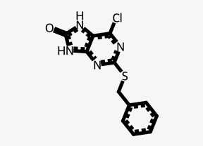 O=c1[nH]c2nc(SCc3ccccc3)nc(Cl)c2[nH]1